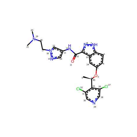 C[C@@H](Oc1ccc2[nH]nc(C(=O)Nc3cnn(CCN(C)C)c3)c2c1)c1c(Cl)cncc1Cl